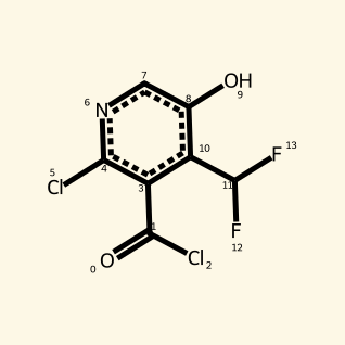 O=C(Cl)c1c(Cl)ncc(O)c1C(F)F